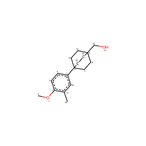 COc1ccc(C23CCC(CO)(CC2)CC3)cc1C